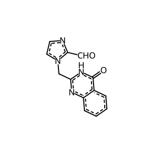 O=Cc1nccn1Cc1nc2ccccc2c(=O)[nH]1